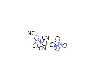 N#Cc1ccc2c(c1)c1cccc(C#N)c1n2-c1ccc(-c2cccc(-c3ccccc3-n3c4ccccc4c4cccnc43)c2)cc1C#N